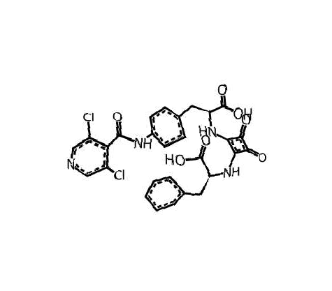 O=C(Nc1ccc(C[C@H](Nc2c(N[C@@H](Cc3ccccc3)C(=O)O)c(=O)c2=O)C(=O)O)cc1)c1c(Cl)cncc1Cl